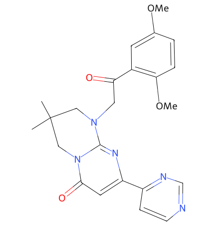 COc1ccc(OC)c(C(=O)CN2CC(C)(C)Cn3c2nc(-c2ccncn2)cc3=O)c1